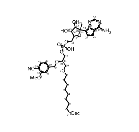 CCCCCCCCCCCCCCCCCCOC[C@H](COP(=O)(O)OCC1O[C@@](C)(c2ccc3c(N)ncnn23)[C@H](O)[C@@H]1O)OCc1ccc(C#N)c(OC)c1